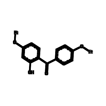 CCOc1ccc(C(=O)c2ccc(OCC)cc2O)cc1